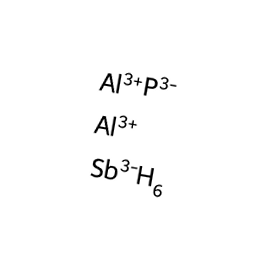 [Al+3].[Al+3].[P-3].[SbH6-3]